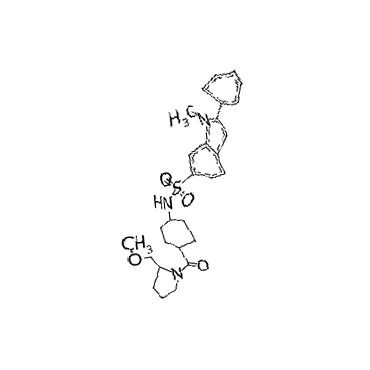 COCC1CCCN1C(=O)C1CCC(NS(=O)(=O)c2ccc3cc(-c4ccccc4)n(C)c3c2)CC1